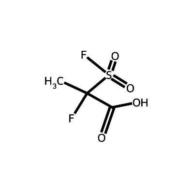 CC(F)(C(=O)O)S(=O)(=O)F